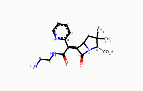 CC1(C)CC2/C(=C(/C(=O)NCCN)c3ccccn3)C(=O)N2[C@H]1C(=O)O